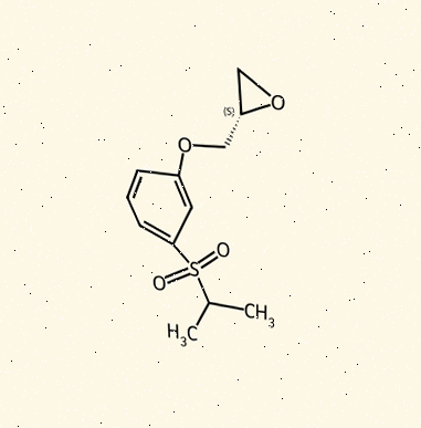 CC(C)S(=O)(=O)c1cccc(OC[C@@H]2CO2)c1